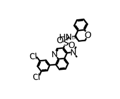 CN(C)c1c(S(=O)(=O)N[C@H]2CCOc3ccccc32)cnc2c(-c3cc(Cl)cc(Cl)c3)cccc12